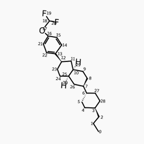 CCC[C@H]1CC[C@H]([C@@H]2CC[C@@H]3C[C@H](c4ccc(OC(F)F)cc4)CC[C@@H]3C2)CC1